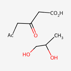 CC(=O)CC(=O)CC(=O)O.CC(O)CO